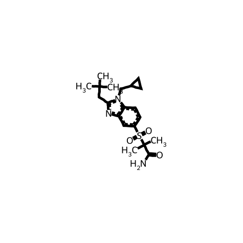 CC(C)(C)Cc1nc2cc(S(=O)(=O)C(C)(C)C(N)=O)ccc2n1CC1CC1